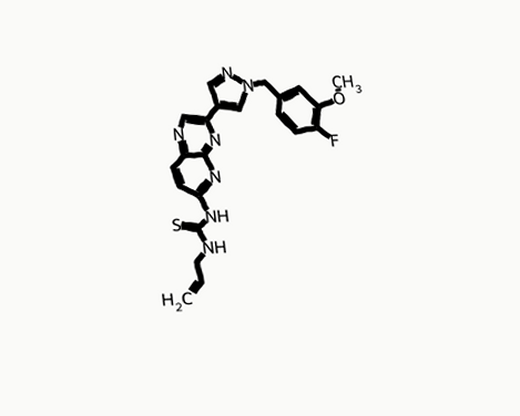 C=CCNC(=S)Nc1ccc2ncc(-c3cnn(Cc4ccc(F)c(OC)c4)c3)nc2n1